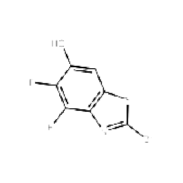 Oc1cc2sc(Br)nc2c(F)c1F